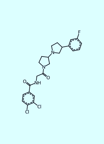 O=C(NCC(=O)N1CCC(N2CCC(c3cccc(F)c3)C2)C1)c1ccc(Cl)c(Cl)c1